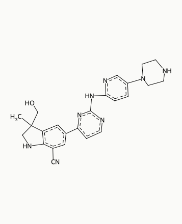 CC1(CO)CNc2c(C#N)cc(-c3ccnc(Nc4ccc(N5CCNCC5)cn4)n3)cc21